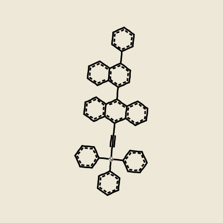 C(#C[Si](c1ccccc1)(c1ccccc1)c1ccccc1)c1c2ccccc2c(-c2ccc(-c3ccccc3)c3ccccc23)c2ccccc12